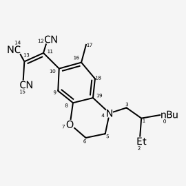 CCCCC(CC)CN1CCOc2cc(C(C#N)=C(C#N)C#N)c(C)cc21